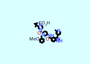 COc1cccc(F)c1CN1C[C@H](NC(=O)c2ccc3[nH]nc(-c4ccnc(C)c4)c3c2)CC[C@H]1C(=O)N1CCN(C(=O)O)C(C2(C)CC2)C1